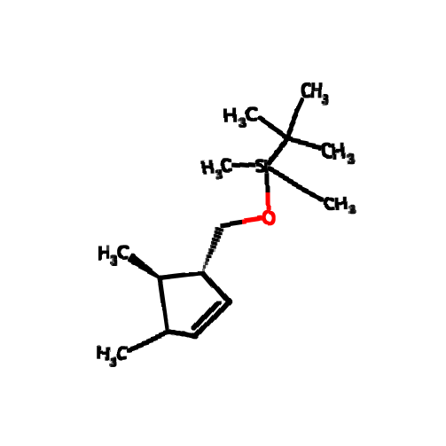 CC1C=C[C@@H](CO[Si](C)(C)C(C)(C)C)[C@@H]1C